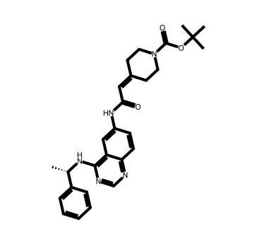 C[C@H](Nc1ncnc2ccc(NC(=O)C=C3CCN(C(=O)OC(C)(C)C)CC3)cc12)c1ccccc1